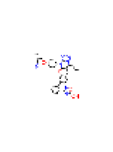 CCCc1c(Cc2ccc(-c3ccccc3C3=NOC(O)N3)cc2)c(=O)n([C@H]2CC[C@H](OCC3(C#N)CCC3)CC2)c2ncnn12